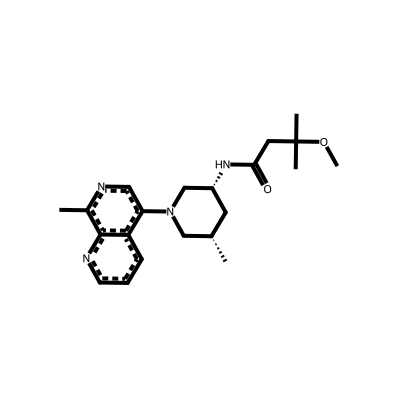 COC(C)(C)CC(=O)N[C@@H]1C[C@H](C)CN(c2cnc(C)c3ncccc23)C1